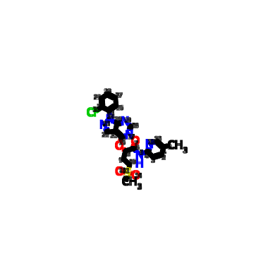 Cc1ccc(NC(=O)C(CCS(C)(=O)=O)Oc2ncnc3c2cnn3-c2ccccc2Cl)nc1